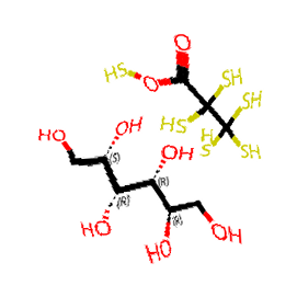 O=C(OS)C(S)(S)C(S)(S)S.OC[C@@H](O)[C@@H](O)[C@H](O)[C@@H](O)CO